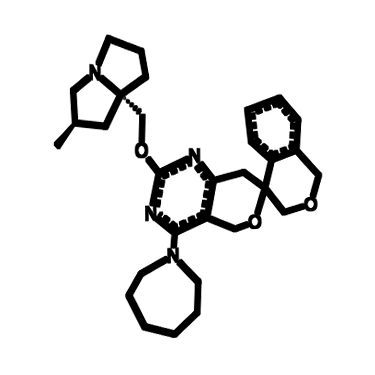 C[C@H]1CN2CCC[C@@]2(COc2nc3c(c(N4CCCCCC4)n2)COC2(COCc4ccccc42)C3)C1